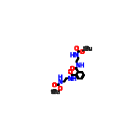 CC(C)(C)OC(=O)NCCNC(=O)c1ccccc1C(=O)NCCNC(=O)OC(C)(C)C